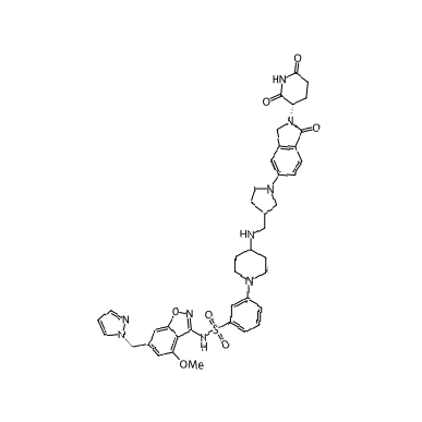 COc1cc(Cn2cccn2)cc2onc(NS(=O)(=O)c3cccc(N4CCC(NCC5CCN(c6ccc7c(c6)CN([C@H]6CCC(=O)NC6=O)C7=O)C5)CC4)c3)c12